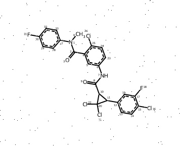 CN(C(=O)c1cc(NC(=O)C2C(c3ccc(Cl)c(F)c3)C2(Cl)Cl)ccc1Cl)c1ccc(F)cc1